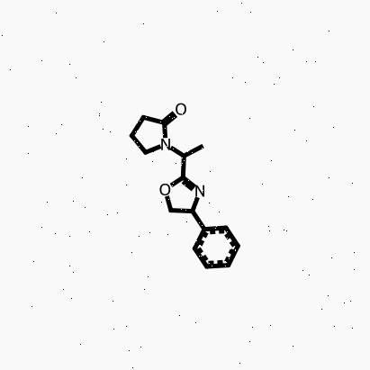 CC(C1=NC(c2ccccc2)CO1)N1CCCC1=O